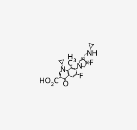 Cc1c(N2C[C@H](CNC3CC3)[C@H](F)C2)c(F)cc2c(=O)c(C(=O)O)cn(C3CC3)c12